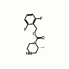 C[C@@H]1CNCCN1C(=O)OCc1c(F)cccc1F